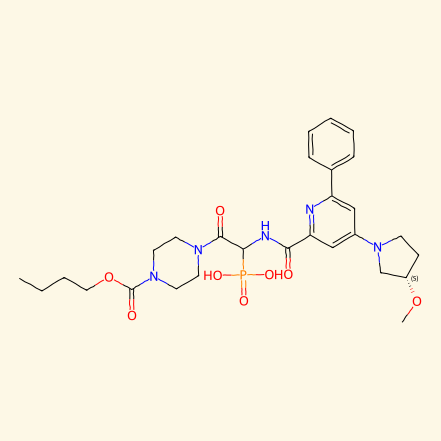 CCCCOC(=O)N1CCN(C(=O)C(NC(=O)c2cc(N3CC[C@H](OC)C3)cc(-c3ccccc3)n2)P(=O)(O)O)CC1